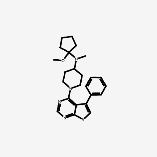 COC1(N(C)C2CCN(c3ncnc4scc(-c5ccccc5)c34)CC2)CCCC1